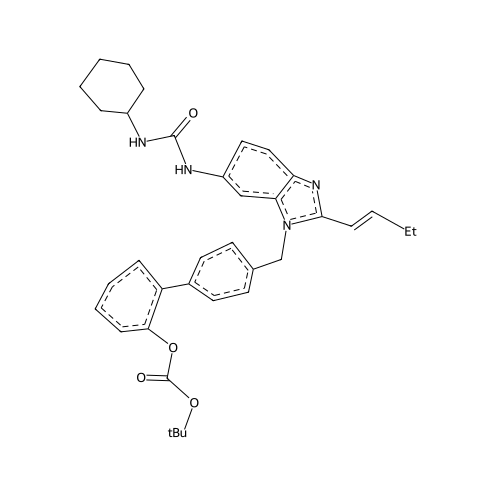 CC/C=C/c1nc2ccc(NC(=O)NC3CCCCC3)cc2n1Cc1ccc(-c2ccccc2OC(=O)OC(C)(C)C)cc1